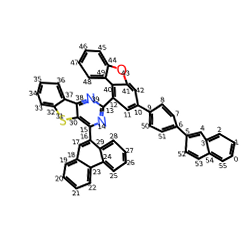 c1ccc2cc(-c3ccc(-c4cc(-c5nc(-c6cc7ccccc7c7ccccc67)c6sc7ccccc7c6n5)c5c(c4)oc4ccccc45)cc3)ccc2c1